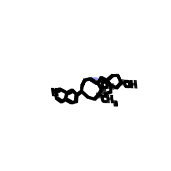 C[C@H]1CCC(c2ccc3ccncc3c2)CC/C=C2/C=C3CC[C@H](O)C[C@]34CC[C@@]21O4